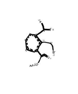 COC(=O)c1cccc(C(F)F)c1CBr